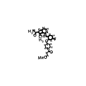 COCCC(=O)N1CCC(Oc2cc(F)ccc2Nc2ncnc3sc(C(N)=O)c(C)c23)CC1